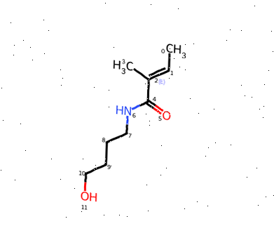 C/C=C(\C)C(=O)NCCCCO